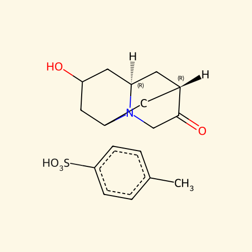 Cc1ccc(S(=O)(=O)O)cc1.O=C1CN2C3CC(O)C[C@H]2C[C@H]1C3